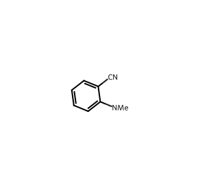 CNc1ccccc1C#N